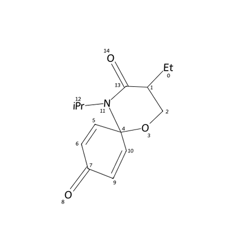 CCC1COC2(C=CC(=O)C=C2)N(C(C)C)C1=O